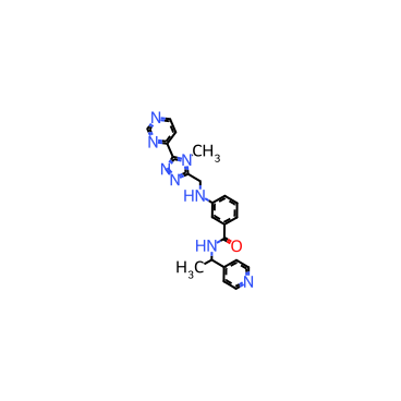 CC(NC(=O)c1cccc(NCc2nnc(-c3ccncn3)n2C)c1)c1ccncc1